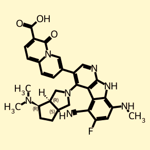 CNc1cc(F)c(C#N)c2c1[nH]c1ncc(-c3ccc4ccc(C(=O)O)c(=O)n4c3)c(N3C[C@H]4CC[C@@H](N(C)C)[C@H]4C3)c12